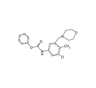 Cc1c(Cl)cc(NC(=O)Oc2ccccc2)cc1CN1CCOCC1